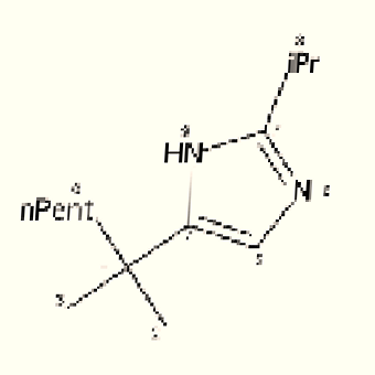 CCCCCC(C)(C)c1cnc(C(C)C)[nH]1